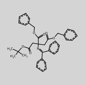 CC(C)(C)OC(=O)CC(CC(=O)OCc1ccccc1)(N=C(c1ccccc1)c1ccccc1)C(=O)OCc1ccccc1